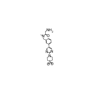 CN(Cc1cccc(-c2cnc(N3CCS(=O)(=O)CC3)nc2)c1)C(=O)CN